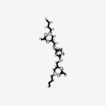 CCCCOCC(CSc1nnc(SCC(COCCCC)OC(C)=O)s1)OC(C)=O